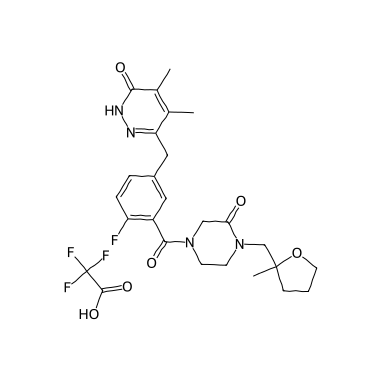 Cc1c(Cc2ccc(F)c(C(=O)N3CCN(CC4(C)CCCO4)C(=O)C3)c2)n[nH]c(=O)c1C.O=C(O)C(F)(F)F